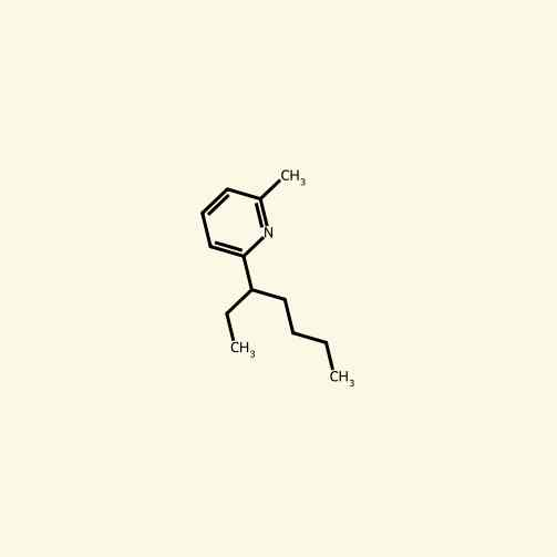 CCCCC(CC)c1cccc(C)n1